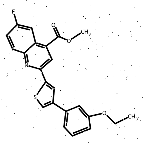 CCOc1cccc(-c2csc(-c3cc(C(=O)OC)c4cc(F)ccc4n3)c2)c1